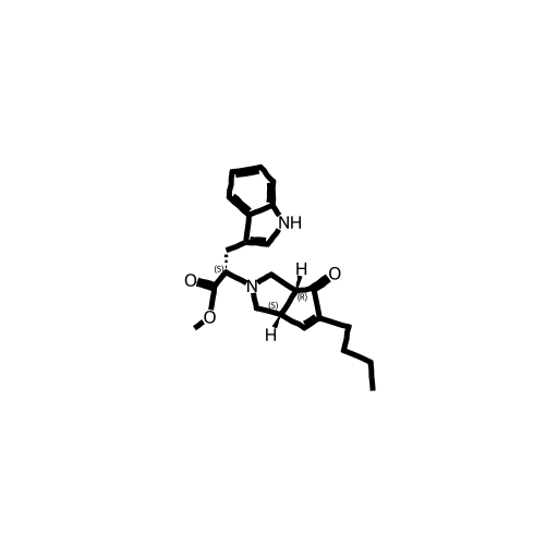 CCCCC1=C[C@@H]2CN([C@@H](Cc3c[nH]c4ccccc34)C(=O)OC)C[C@@H]2C1=O